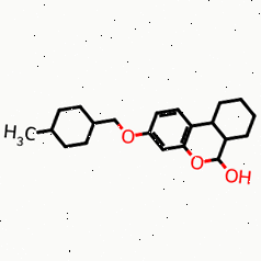 CC1CCC(COc2ccc3c(c2)OC(O)C2CCCCC32)CC1